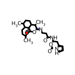 CC1CCC2C(C)/C(=N/CCC(=O)NC(Cc3ccc[nH]3)OC=O)OC3OC4(C)CCC1C32OO4